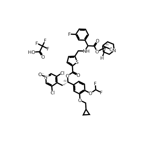 O=C(O)C(F)(F)F.O=C(O[C@@H](Cc1c(Cl)c[n+]([O-])cc1Cl)c1ccc(OC(F)F)c(OCC2CC2)c1)c1ccc(CNC(C(=O)O[C@H]2CN3CCC2CC3)c2cccc(F)c2)s1